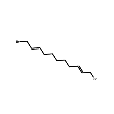 BrCC=CCCCCCC=CCBr